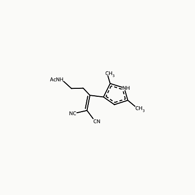 CC(=O)NCCC(=C(C#N)C#N)c1cc(C)[nH]c1C